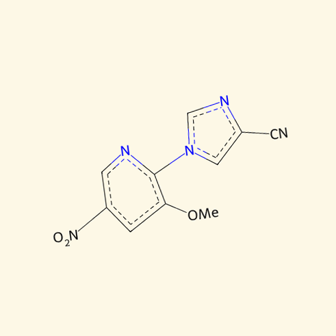 COc1cc([N+](=O)[O-])cnc1-n1cnc(C#N)c1